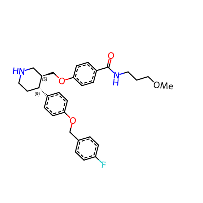 COCCCNC(=O)c1ccc(OC[C@@H]2CNCC[C@H]2c2ccc(OCc3ccc(F)cc3)cc2)cc1